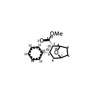 COC(=O)[C@@H]1C2CCC(C[C@@H]1c1ccccc1)O2